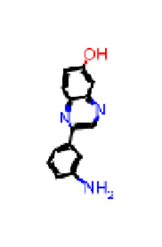 Nc1cccc(-c2cnc3cc(O)ccc3n2)c1